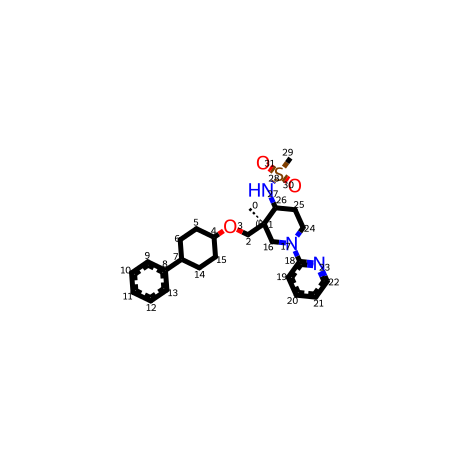 C[C@@]1(COC2CCC(c3ccccc3)CC2)CN(c2ccccn2)CCC1NS(C)(=O)=O